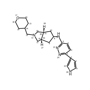 c1cc(-c2ccc(NC3C[C@@H]4CN(CC5CCOCC5)C[C@@H]4C3)nn2)c[nH]1